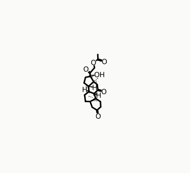 CC(=O)OCC(=O)[C@@]1(O)CC[C@H]2[C@@H]3CCC4CC(=O)CC[C@]4(C)[C@H]3C(=O)C[C@@]21C